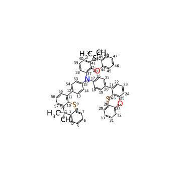 CC1(C)c2ccccc2Sc2c(-c3ccc(N(c4ccc(-c5cccc6c5Sc5ccccc5O6)cc4)c4cccc5c4Oc4ccccc4[Si]5(C)C)cc3)cccc21